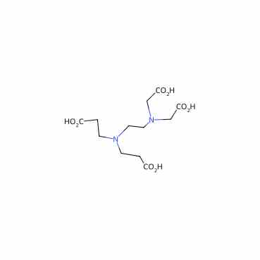 O=C(O)CCN(CCC(=O)O)CCN(CC(=O)O)CC(=O)O